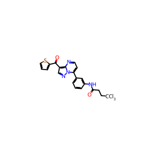 O=C(CCC(Cl)(Cl)Cl)Nc1cccc(-c2ccnc3c(C(=O)c4cccs4)cnn23)c1